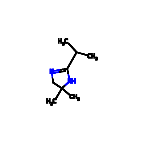 CC(C)C1=NCC(C)(C)N1